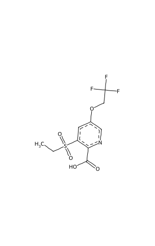 CCS(=O)(=O)c1cc(OCC(F)(F)F)cnc1C(=O)O